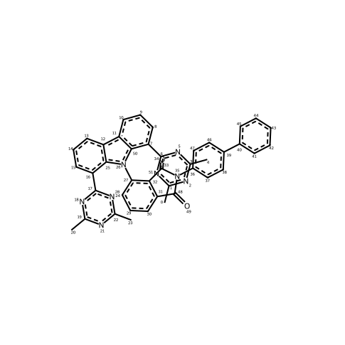 Cc1nc(C)nc(-c2cccc3c4cccc(-c5nc(C)nc(C)n5)c4n(-c4cccc5c4C(=O)N(c4ccc(-c6ccccc6)cc4)C5=O)c23)n1